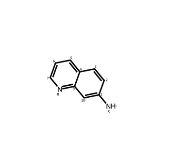 [NH]c1ccc2cccnc2c1